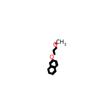 COCCCOc1ccc2c(c1)CC[C]=C2